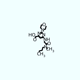 CCCCN(C)C(=O)CNc1cc(C(=O)O)nc(N2CCOCC2)n1